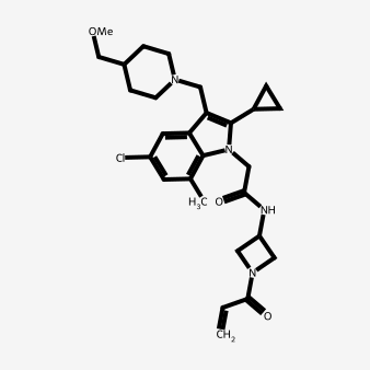 C=CC(=O)N1CC(NC(=O)Cn2c(C3CC3)c(CN3CCC(COC)CC3)c3cc(Cl)cc(C)c32)C1